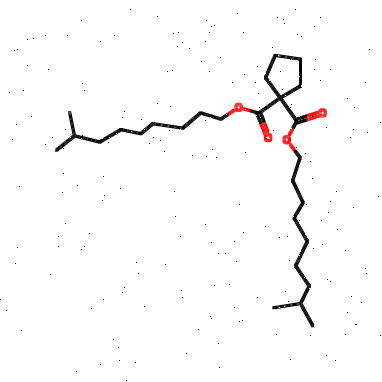 CC(C)CCCCCCCOC(=O)C1(C(=O)OCCCCCCCC(C)C)CCCC1